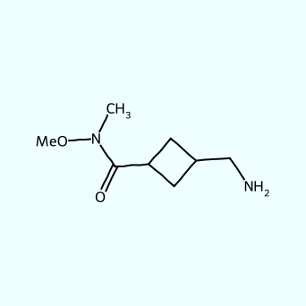 CON(C)C(=O)C1CC(CN)C1